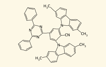 Cc1ccc2c3ccc(C)cc3n(-c3cc(-c4nc(-c5ccccc5)nc(-c5ccccc5)n4)cc(-n4c5cc(C)ccc5c5ccc(C)cc54)c3C#N)c2c1